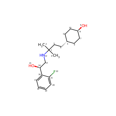 CC(C)(CC[C@H]1CC[C@H](O)CC1)NC[C@H](O)c1ccccc1F